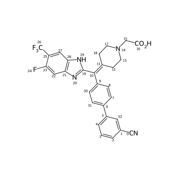 N#Cc1cccc(-c2ccc(C(=C3CCN(CC(=O)O)CC3)c3nc4cc(F)c(C(F)(F)F)cc4[nH]3)cc2)c1